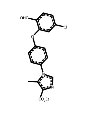 CCOC(=O)c1ncn(-c2ccc(Oc3cc(Cl)ccc3C=O)cc2)c1C